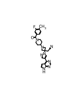 Cc1ccc(C(=O)N2CCC(N3CC(CC#N)(n4cc(-c5ncnc6[nH]ccc56)cn4)C3)CC2)cc1F